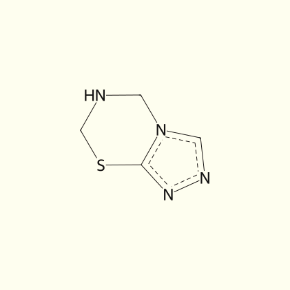 c1nnc2n1CNCS2